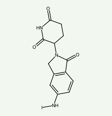 O=C1CCC(N2Cc3cc(NI)ccc3C2=O)C(=O)N1